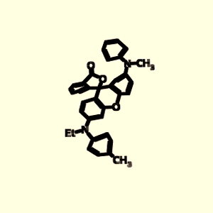 CCN(c1ccc(C)cc1)c1ccc2c(c1)Oc1ccc(N(C)c3ccccc3)cc1C21OC(=O)c2ccccc21